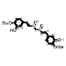 COc1ccc(/C=C/[S+]([O-])C[S+]([O-])/C=C/c2ccc(OC)c(O)c2)cc1O